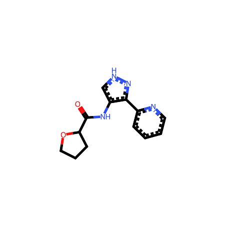 O=C(Nc1c[nH]nc1-c1ccccn1)C1CCCO1